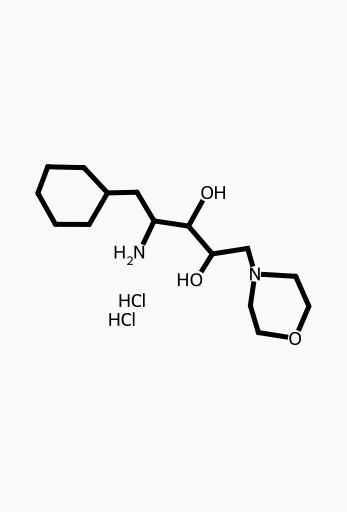 Cl.Cl.NC(CC1CCCCC1)C(O)C(O)CN1CCOCC1